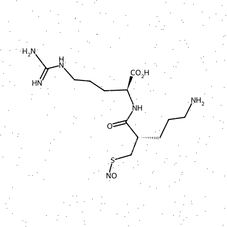 N=C(N)NCCC[C@H](NC(=O)[C@H](CCCN)CSN=O)C(=O)O